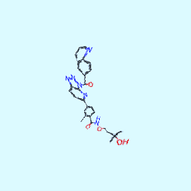 Cc1cc(-c2ccc3nnn(C(=O)c4ccc5ncccc5c4)c3n2)ccc1C(=O)NOCC(C)(C)O